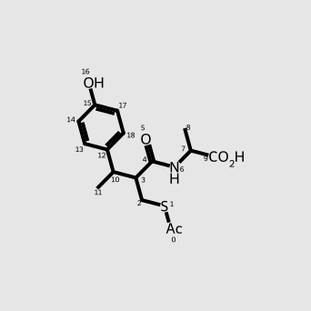 CC(=O)SCC(C(=O)NC(C)C(=O)O)C(C)c1ccc(O)cc1